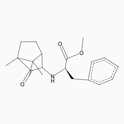 COC(=O)[C@@H](Cc1ccccc1)NC1C(=O)C2(C)CCC1C2(C)C